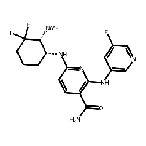 CN[C@@H]1[C@H](Nc2ccc(C(N)=O)c(Nc3cncc(F)c3)n2)CCCC1(F)F